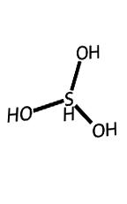 O[SH](O)O